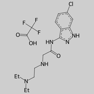 CCN(CC)CCNCC(=O)Nc1n[nH]c2cc(Cl)ccc12.O=C(O)C(F)(F)F